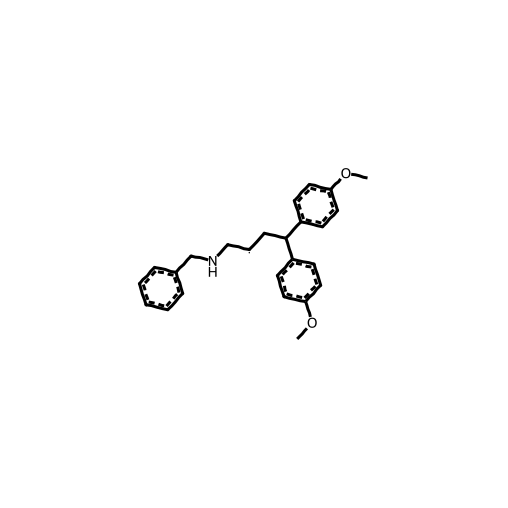 COc1ccc(C(C[CH]CNCc2ccccc2)c2ccc(OC)cc2)cc1